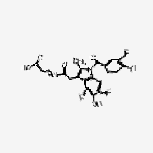 Cc1c(CC(=O)NCCC(=O)O)c2c(F)c(O)c(F)cc2n1C(=O)c1ccc(Cl)c(F)c1